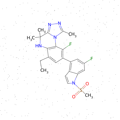 CCc1cc(-c2cc(F)cc3c2ccn3S(C)(=O)=O)c(F)c2c1NC(C)(C)c1nnc(C)n1-2